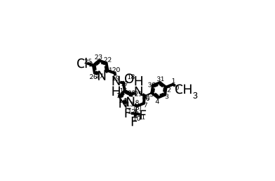 CCc1ccc([C@H]2C[C@@H](C(F)(F)F)n3ncc(C(=O)NCc4ccc(Cl)cn4)c3N2)cc1